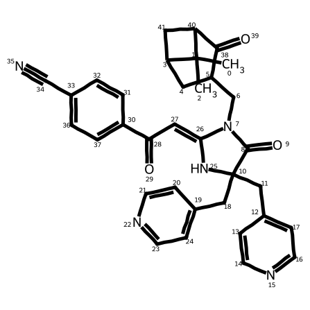 CC1(C)C2CC(CN3C(=O)C(Cc4ccncc4)(Cc4ccncc4)N/C3=C\C(=O)c3ccc(C#N)cc3)C(=O)C1C2